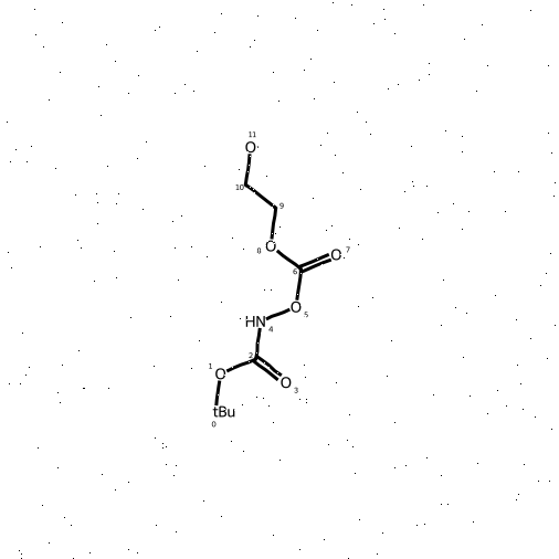 CC(C)(C)OC(=O)NOC(=O)OCC[O]